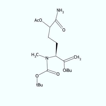 C=C(OCC(C)C)[C@H](CCC(OC(C)=O)C(N)=O)N(C)C(=O)OC(C)(C)C